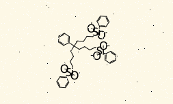 CO[Si](CCCCC(CCCC[Si](OC)(OC)c1ccccc1)(CCCC[Si](OC)(OC)c1ccccc1)c1ccccc1)(OC)c1ccccc1